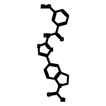 CCC(=O)N1CCc2cc(-c3csc(NC(=O)c4cccc(OC)c4)n3)ccc21